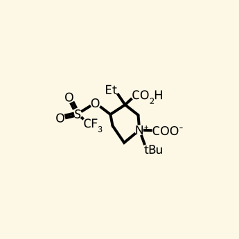 CCC1(C(=O)O)C[N+](C(=O)[O-])(C(C)(C)C)CCC1OS(=O)(=O)C(F)(F)F